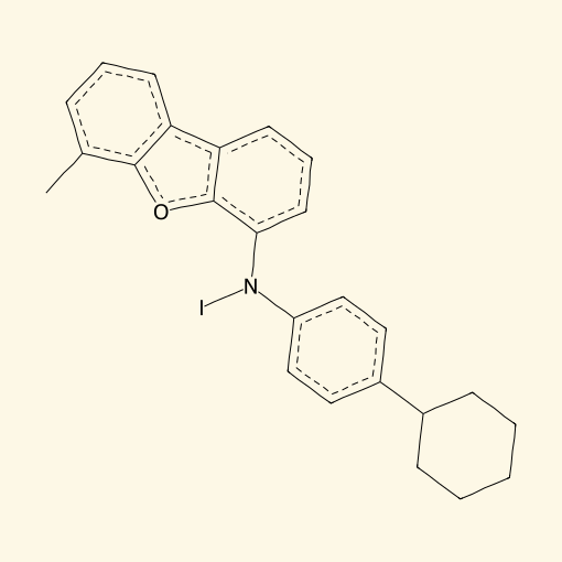 Cc1cccc2c1oc1c(N(I)c3ccc(C4CCCCC4)cc3)cccc12